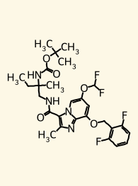 CCC(C)(CNC(=O)c1c(C)nc2c(OCc3c(F)cccc3F)cc(OC(F)F)cn12)NC(=O)OC(C)(C)C